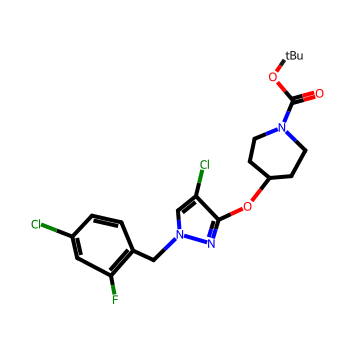 CC(C)(C)OC(=O)N1CCC(Oc2nn(Cc3ccc(Cl)cc3F)cc2Cl)CC1